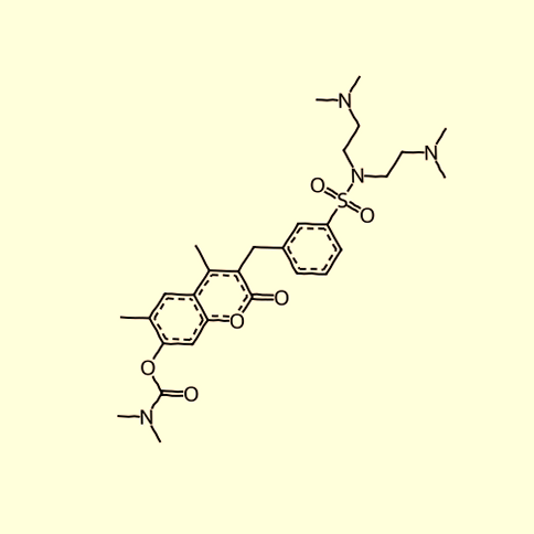 Cc1cc2c(C)c(Cc3cccc(S(=O)(=O)N(CCN(C)C)CCN(C)C)c3)c(=O)oc2cc1OC(=O)N(C)C